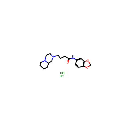 Cl.Cl.O=C(CCCN1CCN2CCCCC2C1)Nc1ccc2c(c1)OCO2